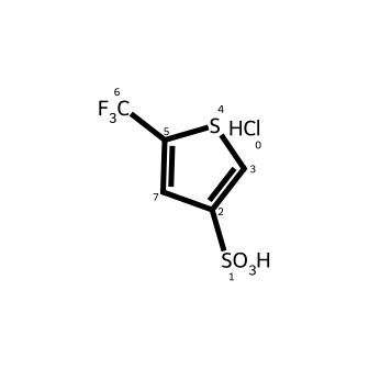 Cl.O=S(=O)(O)c1csc(C(F)(F)F)c1